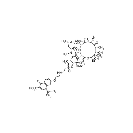 CC[C@H]1OC(=O)[C@H](C)[C@@H](O[C@H]2C[C@@](C)(OC)[C@@H](OS(=O)(=O)CCNCCOc3ccc4c(=O)c(C(=O)O)cn(N(C)C)c4c3)[C@H](C)O2)[C@H](C)[C@@H](O[C@@H]2O[C@H](C)C[C@H](N(C)C)[C@H]2O)[C@](C)(OC)C[C@@H](C)C(=O)C(C)[C@@H](O)[C@]1(C)O